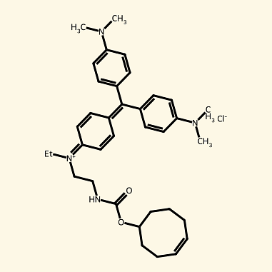 CC[N+](CCNC(=O)OC1CCC=CCCC1)=C1C=CC(=C(c2ccc(N(C)C)cc2)c2ccc(N(C)C)cc2)C=C1.[Cl-]